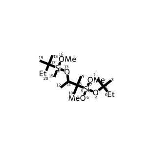 CCC(C)(C)O[Si](OC)(OC)C(C)(C)C(C)O[Si](C)(OC)C(C)(C)CC